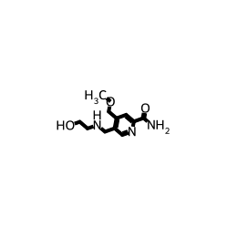 COCc1cc(C(N)=O)ncc1CNCCO